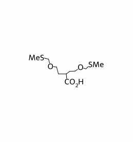 CSCOCCC(CCOCSC)C(=O)O